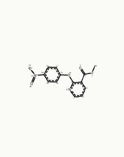 COC(=O)c1cccnc1Oc1ccc([N+](=O)[O-])cc1